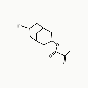 C=C(C)C(=O)OC1CC2CC(C1)CC(C(C)C)C2